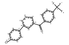 O=C(c1ccc(C(F)(F)F)cc1)c1cnnc(-c2ccc(Cl)cc2)c1